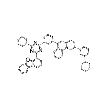 c1ccc(-c2cccc(-c3ccc4cc(-c5cccc(-c6nc(-c7ccccc7)nc(-c7cccc8c7oc7ccccc78)n6)c5)c5ccccc5c4c3)c2)cc1